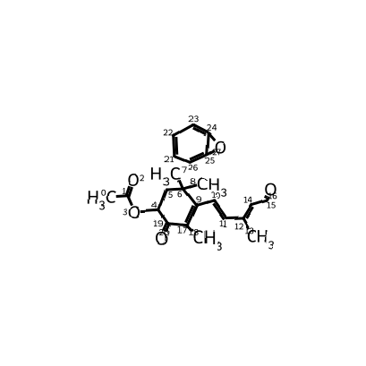 CC(=O)OC1CC(C)(C)C(C=CC(C)=CC=O)=C(C)C1=O.c1ccc2c(c1)O2